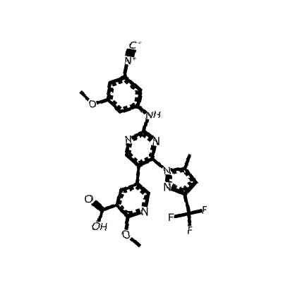 [C-]#[N+]c1cc(Nc2ncc(-c3cnc(OC)c(C(=O)O)c3)c(-n3nc(C(F)(F)F)cc3C)n2)cc(OC)c1